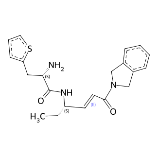 CC[C@@H](/C=C/C(=O)N1Cc2ccccc2C1)NC(=O)[C@@H](N)Cc1cccs1